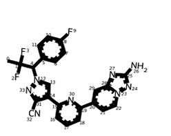 CC(F)(F)C(c1ccc(F)cc1)n1cc(-c2cccc(-c3ccn4nc(N)nc4c3)n2)c(C#N)n1